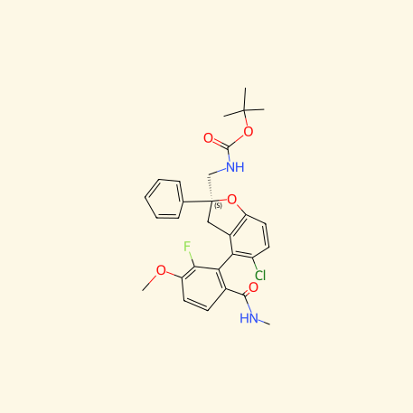 CNC(=O)c1ccc(OC)c(F)c1-c1c(Cl)ccc2c1C[C@@](CNC(=O)OC(C)(C)C)(c1ccccc1)O2